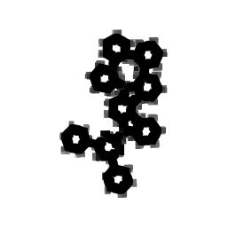 c1ccc(-c2nc(-c3ccccc3)nc(-n3c4ccccc4c4c5c6cccc7c8ccccc8c8ccccc8c8ccccc8n(c5ccc43)c76)n2)cc1